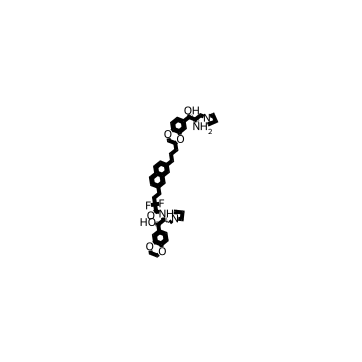 N[C@H](CN1CCC1)[C@H](O)c1ccc2c(c1)OC(CCCc1ccc3ccc(CCC(F)(F)C(=O)N[C@H](CN4CCC4)[C@H](O)c4ccc5c(c4)OCCO5)cc3c1)CO2